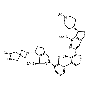 COc1nc(-c2cccc(-c3cccc(-c4cc5c(c(OC)n4)[C@@H](N4CCN(C(C)=O)CC4)CC5)c3Cl)c2Cl)cc2c1[C@H](N1CC3(CNC(=O)C3)C1)CC2